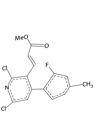 COC(=O)/C=C/c1c(-c2ccc(C)cc2F)cc(Cl)nc1Cl